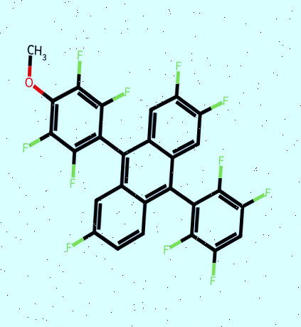 COc1c(F)c(F)c(-c2c3cc(F)ccc3c(-c3c(F)c(F)cc(F)c3F)c3cc(F)c(F)cc23)c(F)c1F